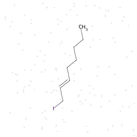 CCCCCC=CCI